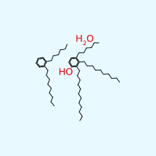 CCCCCCCCCCCCc1c(O)ccc(CCCCCC)c1CCCCCCCCCC.CCCCCCCCCc1ccccc1CCCCCC.O